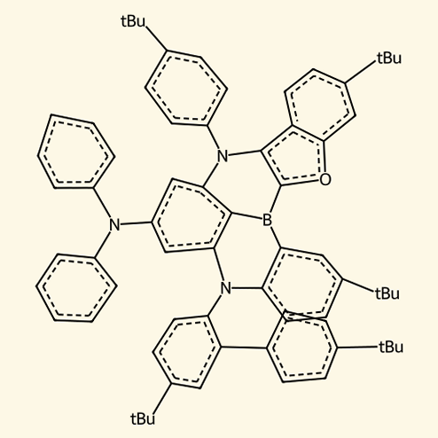 CC(C)(C)c1ccc(-c2cc(C(C)(C)C)ccc2N2c3ccc(C(C)(C)C)cc3B3c4oc5cc(C(C)(C)C)ccc5c4N(c4ccc(C(C)(C)C)cc4)c4cc(N(c5ccccc5)c5ccccc5)cc2c43)cc1